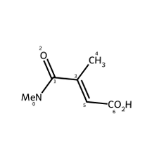 CNC(=O)C(C)=CC(=O)O